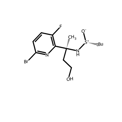 CC(C)(C)[S@@+]([O-])N[C@@](C)(CCO)c1nc(Br)ccc1F